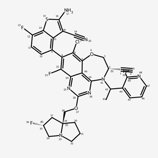 C#C[C@H]1COc2c(Cl)c(-c3ccc(F)c4sc(N)c(C#N)c34)c(F)c3nc(OC[C@@]45CCCN4C[C@H](F)C5)nc(c23)N1C(C)c1cccnc1N